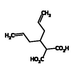 C=CCC(CC=C)C(C(=O)O)C(=O)O